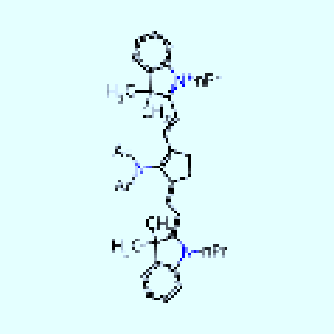 CCCN1/C(=C/C=C2\CCC(/C=C/C3=[N+](CCC)c4ccccc4C3(C)C)=C2N(C(C)=O)C(C)=O)C(C)(C)c2ccccc21